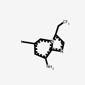 Nc1cc(I)cn2c(CC(F)(F)F)cnc12